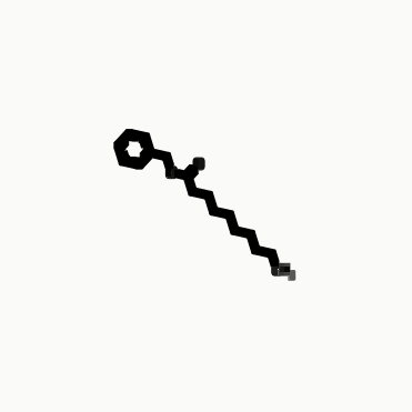 CCCCCCCCCC(=O)OCc1ccccc1